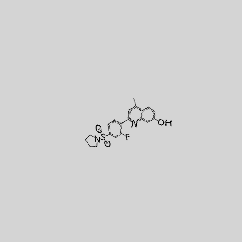 Cc1cc(-c2ccc(S(=O)(=O)N3CCCC3)cc2F)nc2cc(O)ccc12